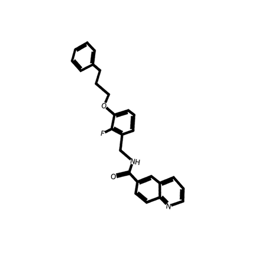 O=C(NCc1cccc(OCCCc2ccccc2)c1F)c1ccc2ncccc2c1